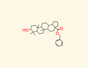 CC1(C)C(O)CCC2(C)C1CCC1(C)C2CCC2C3CCCC3(C(=O)OCc3ccccc3)CC[C@]21C